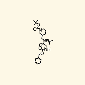 CC(C)C[C@H](NC(=O)OCc1ccccc1)C(=O)NCC1CCCN(C(=O)OC(C)(C)C)C1